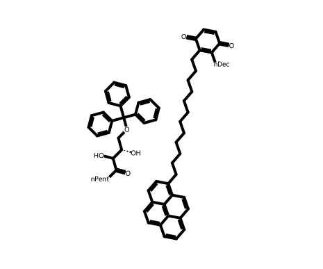 CCCCCC(=O)C(O)[C@@H](O)COC(c1ccccc1)(c1ccccc1)c1ccccc1.CCCCCCCCCCC1=C(CCCCCCCCCCCCc2ccc3ccc4cccc5ccc2c3c45)C(=O)C=CC1=O